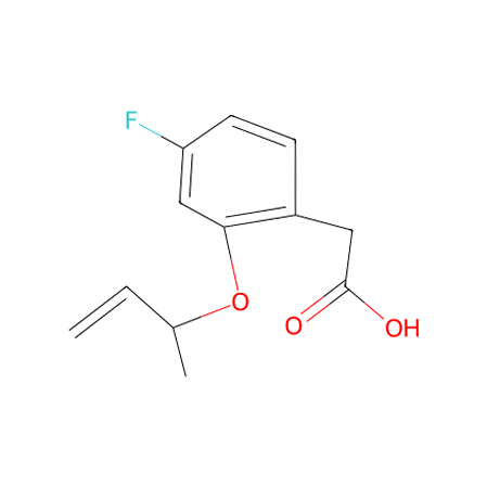 C=CC(C)Oc1cc(F)ccc1CC(=O)O